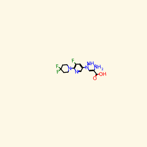 N/C(=C\N(N)c1cnc(N2CCC(F)(F)CC2)c(F)c1)C(=O)O